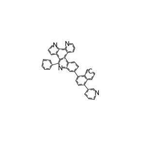 c1ccc(-c2nc3cc(-c4ccc(-c5cccnc5)c5ccccc45)ccc3c3c4cccnc4c4ncccc4c23)cc1